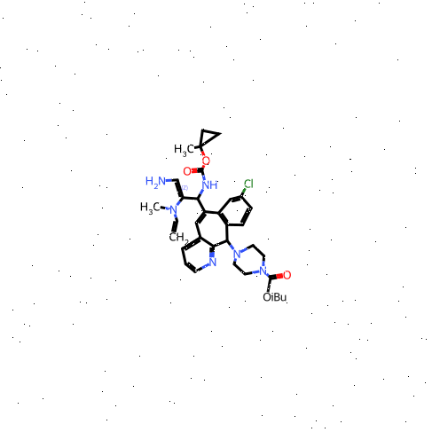 C=CN(C)/C(=C\N)C(NC(=O)OC1(C)CC1)C1=Cc2cccnc2C(N2CCN(C(=O)OCC(C)C)CC2)c2ccc(Cl)cc21